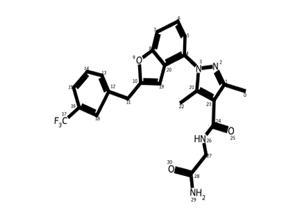 Cc1nn(-c2cccc3oc(Cc4cccc(C(F)(F)F)c4)cc23)c(C)c1C(=O)NCC(N)=O